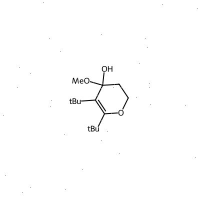 COC1(O)CCOC(C(C)(C)C)=C1C(C)(C)C